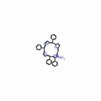 Nc1c(-c2ccccc2)c2[nH]c1cc1nc(c(-c3ccccc3)c3ccc([nH]3)c(-c3ccccc3)c3nc(c2-c2ccccc2)C=C3)C=C1